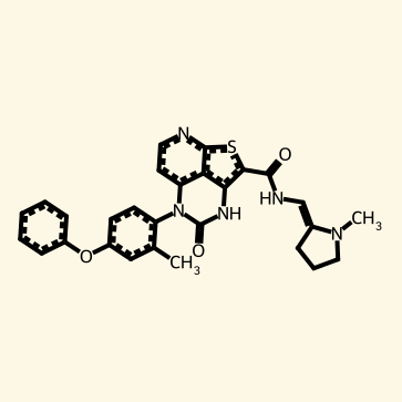 Cc1cc(Oc2ccccc2)ccc1N1C(=O)Nc2c(C(=O)N/C=C3\CCCN3C)sc3nccc1c23